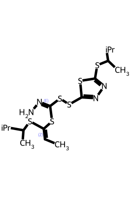 C/C=C(\S/C(=N\N)SSc1nnc(SC(C)C(C)C)s1)SC(C)C(C)C